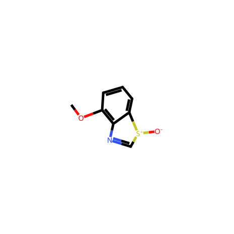 COc1cccc2c1nc[s+]2[O-]